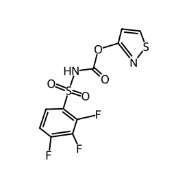 O=C(NS(=O)(=O)c1ccc(F)c(F)c1F)Oc1ccsn1